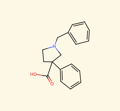 O=C(O)C1(c2ccccc2)CCN(Cc2ccccc2)C1